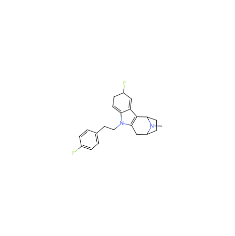 CN1C2CCC1c1c(n(CCc3ccc(F)cc3)c3c1=CC(F)CC=3)C2